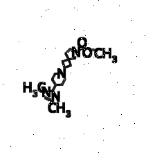 CCOC(=O)N1CCC2(CC(N3CCC(c4nc(C)cn4C)CC3)C2)C1